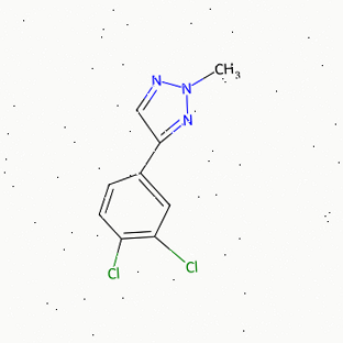 Cn1ncc(-c2ccc(Cl)c(Cl)c2)n1